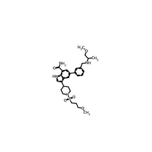 COCCCS(=O)(=O)N1CCC(c2c[nH]c3c(C(N)=O)cc(-c4cccc(CNC(C)COC)c4)cc23)CC1